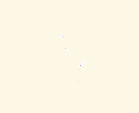 CC(F)(F)C(=O)NC1CC(=O)N(c2ccc3c(cnn3-c3ccc(F)cc3)c2)C1c1cccc(F)c1